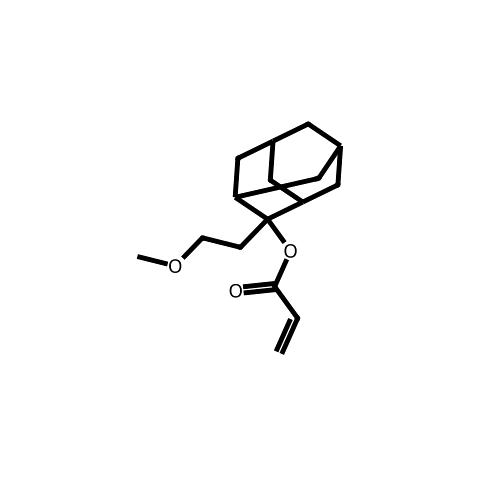 C=CC(=O)OC1(CCOC)C2CC3CC(C2)CC1C3